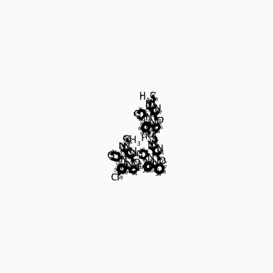 CCn1ncc2c(NC3CCOCC3)c(C(=O)NC3(c4ccc(F)cc4)CCCCC3)cnc21.CCn1ncc2c(NC3CCOCC3)c(C(=O)NC3(c4cccc(Cl)c4)CCCC3)cnc21.CCn1ncc2c(NC3CCOCC3)c(C(=O)NC3(c4ccccc4Cl)CCCC3)cnc21